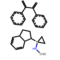 C=C(C(=C)c1ccccc1)c1ccccc1.O=C[NH][Ti]1([CH]2CCC3C=CC=CC32)[CH2][CH2]1